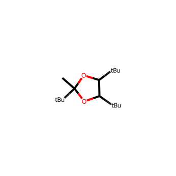 CC(C)(C)C1OC(C)(C(C)(C)C)OC1C(C)(C)C